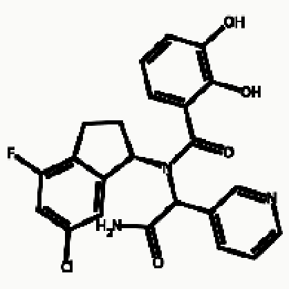 NC(=O)C(c1cccnc1)N(C(=O)c1cccc(O)c1O)[C@@H]1CCc2c(F)cc(Cl)cc21